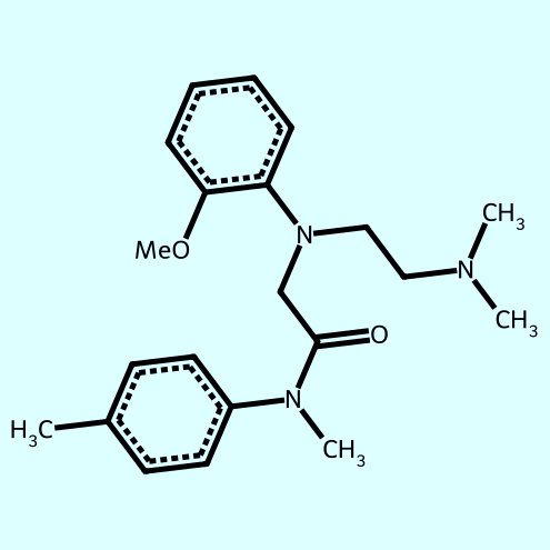 COc1ccccc1N(CCN(C)C)CC(=O)N(C)c1ccc(C)cc1